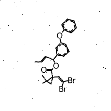 CC=CC(OC(=O)C1(C=C(Br)Br)CC1(C)C)c1cccc(Oc2ccccc2)c1